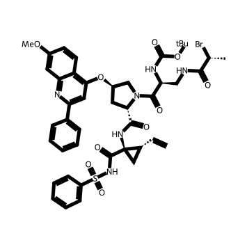 C=C[C@@H]1C[C@]1(NC(=O)[C@@H]1C[C@@H](Oc2cc(-c3ccccc3)nc3cc(OC)ccc23)CN1C(=O)[C@H](CNC(=O)[C@@H](C)Br)NC(=O)OC(C)(C)C)C(=O)NS(=O)(=O)c1ccccc1